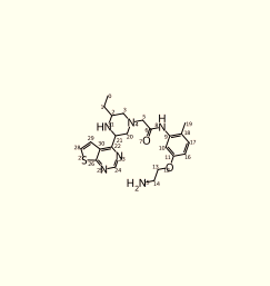 CCC1CN(CC(=O)Nc2cc(OCCN)ccc2C)CC(c2ncnc3sccc23)N1